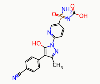 Cc1nn(-c2ccc(S(N)(=O)=NC(=O)O)cn2)c(O)c1-c1ccc(C#N)cc1